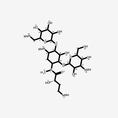 CNCC[C@H](O)C(=O)N(C)C1CC(NC)C(OC2OC(CNC)C(O)C(O)C2O)C(O)C1OC1OC(CO)C(O)C(NC)C1O